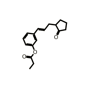 CCC(=O)Oc1cccc(/C=C/CC2CCCC2=O)c1